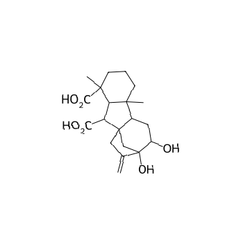 C=C1CC23CC1(O)C(O)CC2C1(C)CCCC(C)(C(=O)O)C1C3C(=O)O